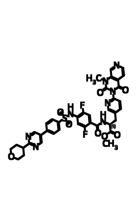 COC(=O)[C@H](Cc1ccc(-n2c(=O)c3ccncc3n(C)c2=O)nc1)NC(=O)c1cc(F)c(NS(=O)(=O)c2ccc(-c3cnc(C4CCOCC4)nc3)cc2)cc1F